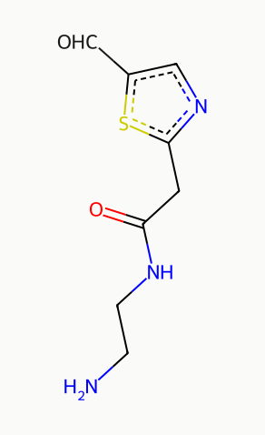 NCCNC(=O)Cc1ncc(C=O)s1